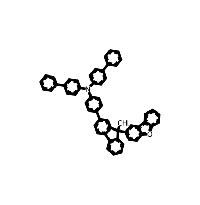 CC1(c2ccc3oc4ccccc4c3c2)c2ccccc2-c2ccc(-c3ccc(N(c4ccc(-c5ccccc5)cc4)c4ccc(-c5ccccc5)cc4)cc3)cc21